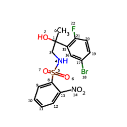 CC(O)(CNS(=O)(=O)c1ccccc1[N+](=O)[O-])c1cc(Br)ccc1F